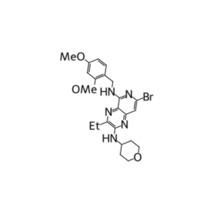 CCc1nc2c(NCc3ccc(OC)cc3OC)nc(Br)cc2nc1NC1CCOCC1